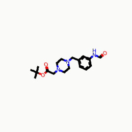 CC(C)(C)OC(=O)CN1CCN(Cc2cccc(NC=O)c2)CC1